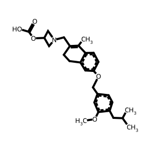 COc1cc(COc2ccc3c(c2)CCC(CN2CC(OC(=O)O)C2)=C3C)ccc1CC(C)C